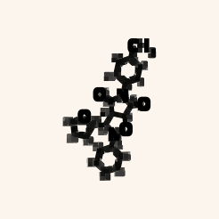 Cc1ccc(N2C(=O)C3ON(c4ccccc4)C(c4ccco4)C3C2=O)cc1